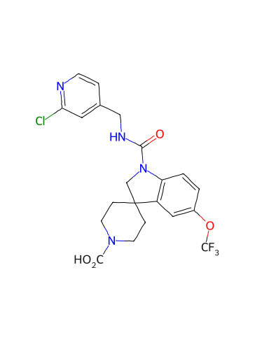 O=C(O)N1CCC2(CC1)CN(C(=O)NCc1ccnc(Cl)c1)c1ccc(OC(F)(F)F)cc12